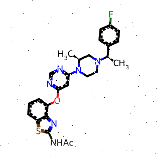 CC(=O)Nc1nc2c(Oc3cc(N4CCN([C@H](C)c5ccc(F)cc5)C[C@@H]4C)ncn3)cccc2s1